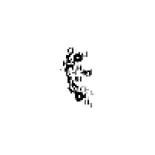 CCCc1nc(C(=O)NCC(O)CN2CCN(c3cccc(C)c3C)CC2)c(C)n1-c1ccc(Cl)cc1.Cl.Cl